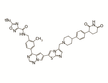 Cc1cc(-c2ncnn3cc(-c4cn5c(CN6CCC(c7ccc(C8CCC(=O)NC8=O)cc7)CC6)cnc5s4)cc23)ccc1CNC(=O)c1noc(C(C)(C)C)n1